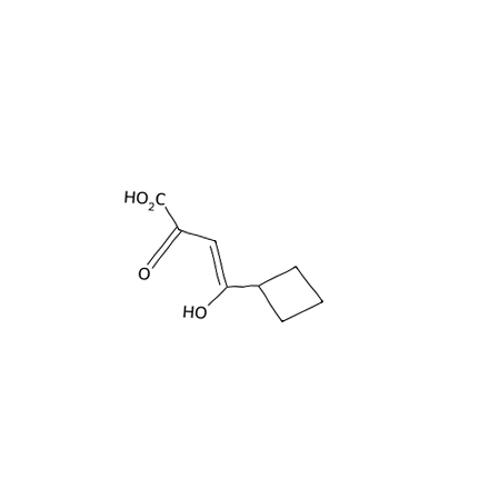 O=C(O)C(=O)C=C(O)C1CCC1